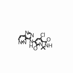 CC1(C)NC(=O)c2c(Cl)cc(Nc3ncnc4ccnnc34)c(=O)n21